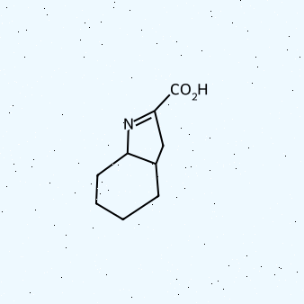 O=C(O)C1=NC2CCCCC2C1